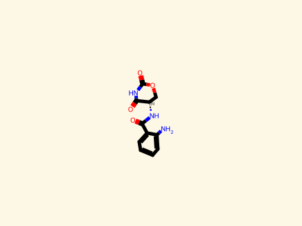 Nc1ccccc1C(=O)N[C@H]1COC(=O)NC1=O